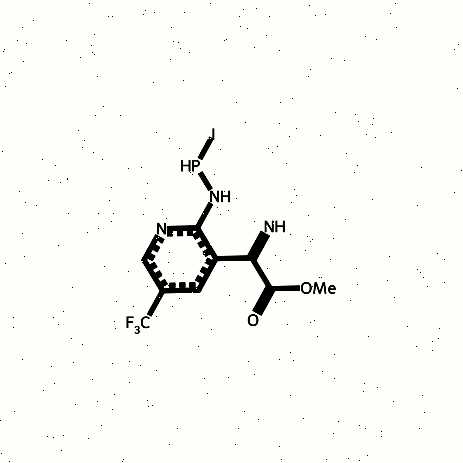 COC(=O)C(=N)c1cc(C(F)(F)F)cnc1NPI